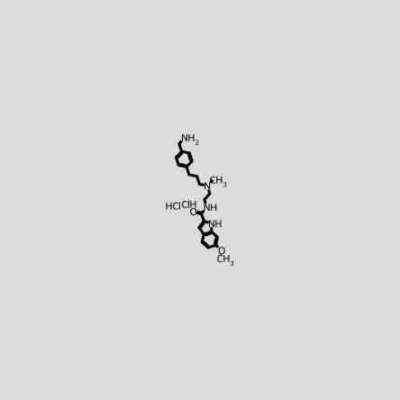 COc1ccc2cc(C(=O)NCCN(C)CCCc3ccc(CN)cc3)[nH]c2c1.Cl.Cl